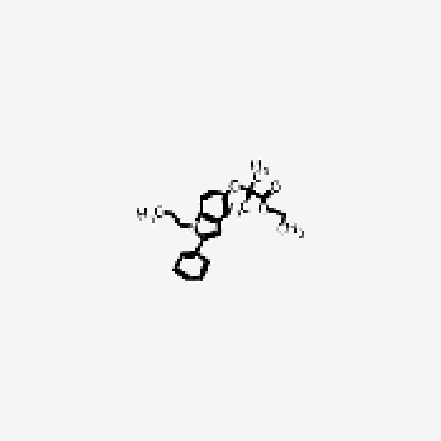 CCCn1c(-c2ccccc2)cc2cc(OC(C)(C)C(=O)OCC)ccc21